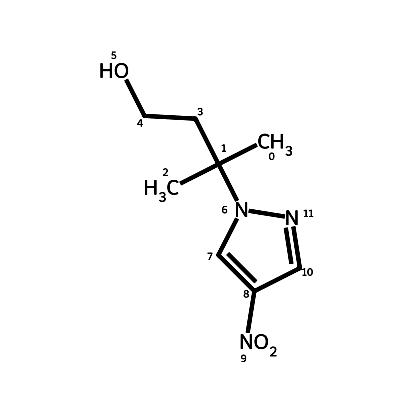 CC(C)(CCO)n1cc([N+](=O)[O-])cn1